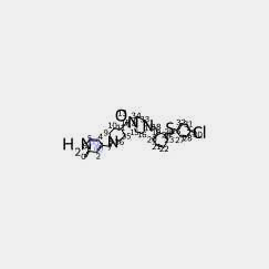 C=C/C=C(\C=C/N)CN1CCC(C(=O)N2CCN(Cc3ccccc3Sc3ccc(Cl)cc3)CC2)CC1